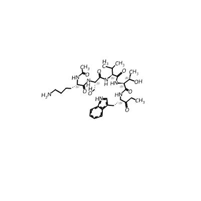 CCC(=O)[C@H](Cc1c[nH]c2ccccc12)NC(=O)[C@@H](NC(=O)[C@@H](NC(=O)[C@H](CO)NC(=O)[C@H](CCCCN)NC(C)=O)C(C)C)[C@@H](C)O